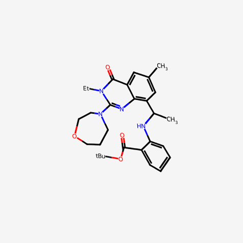 CCn1c(N2CCCOCC2)nc2c(C(C)Nc3ccccc3C(=O)OC(C)(C)C)cc(C)cc2c1=O